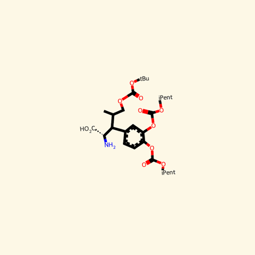 CCCC(C)OC(=O)Oc1ccc(C(C(C)COC(=O)OC(C)(C)C)[C@H](N)C(=O)O)cc1OC(=O)OC(C)CCC